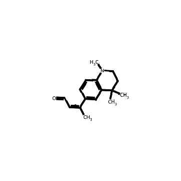 C/C(=C/C=O)c1ccc2c(c1)C(C)(C)CCN2C